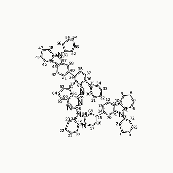 c1ccc(-n2c3ccccc3c3ccc(-c4ccc5c6ccccc6n(-c6nc(-n7c8ccccc8c8ccc(-c9ccc%10c%11ccccc%11n(-c%11ccccc%11)c%10c9)cc87)c7ccccc7n6)c5c4)cc32)cc1